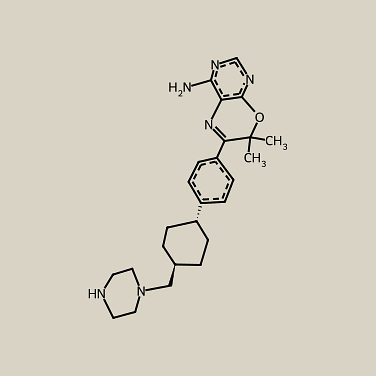 CC1(C)Oc2ncnc(N)c2N=C1c1ccc([C@H]2CC[C@H](CN3CCNCC3)CC2)cc1